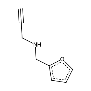 C#CCNCc1ccco1